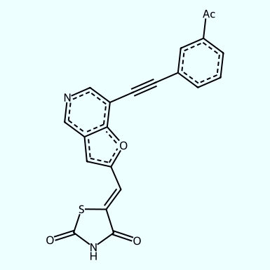 CC(=O)c1cccc(C#Cc2cncc3cc(/C=C4\SC(=O)NC4=O)oc23)c1